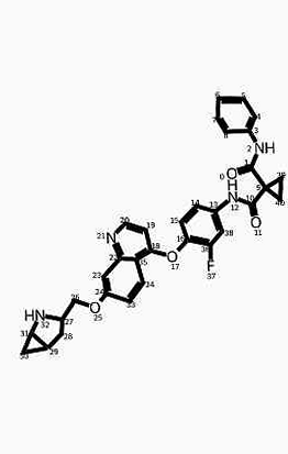 O=C(Nc1ccccc1)C1(C(=O)Nc2ccc(Oc3ccnc4cc(OCC5CC6CC6N5)ccc34)c(F)c2)CC1